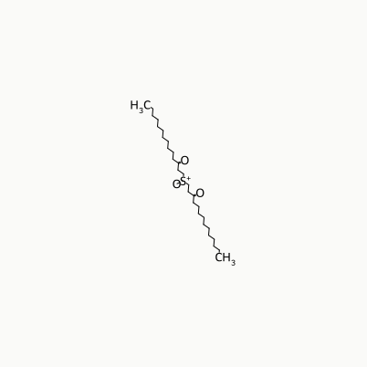 CCCCCCCCCCCC(=O)CC[S+]([O-])CCC(=O)CCCCCCCCCCC